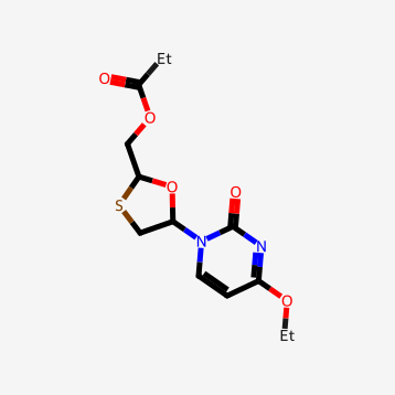 CCOc1ccn(C2CSC(COC(=O)CC)O2)c(=O)n1